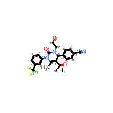 CC(=O)C1=C(C)N(c2cccc(C(F)(F)F)c2)C(=O)N(CCBr)C1c1ccc(C#N)cc1